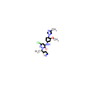 COc1cc(Nc2cc(Cl)nn([C@@H](C)c3ccns3)c2=O)ccc1-n1cnc(C)c1